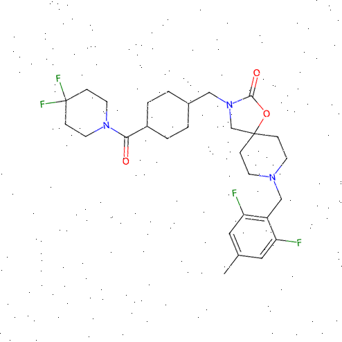 Cc1cc(F)c(CN2CCC3(CC2)CN(CC2CCC(C(=O)N4CCC(F)(F)CC4)CC2)C(=O)O3)c(F)c1